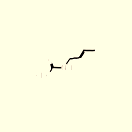 CC=CCNC(=O)C(Cl)(Cl)Cl